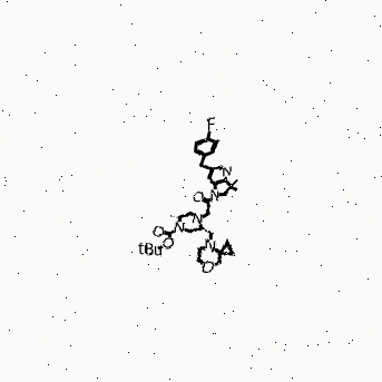 C[C@@H]1CN(CC(=O)N2CC(C)(C)c3ncc(Cc4ccc(F)cc4)cc32)[C@@H](CN2CCOCC23CC3)CN1C(=O)OC(C)(C)C